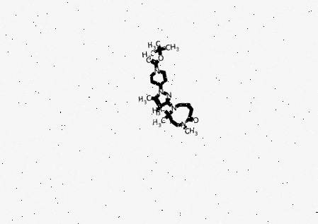 Cc1c(I)c(N2CCCC(=O)N(C)CCC2(C)C)nn1C1CCN(C(=O)OC(C)(C)C)CC1